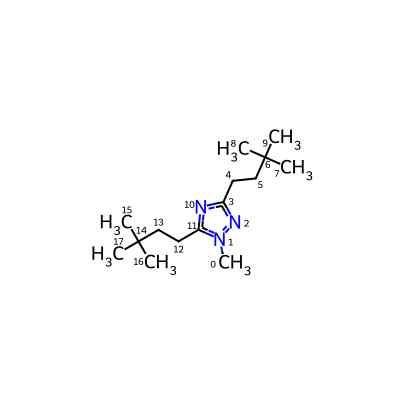 Cn1nc(CCC(C)(C)C)nc1CCC(C)(C)C